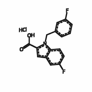 Cl.O=C(O)c1cc2cc(F)ccc2n1Cc1cccc(F)c1